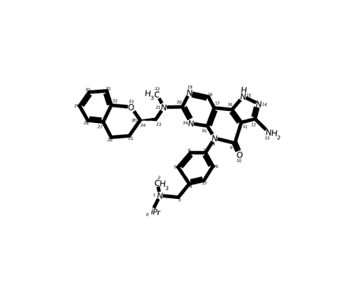 CC(C)N(C)Cc1ccc(-n2c(=O)c3c(N)n[nH]c3c3cnc(N(C)C[C@H]4CCc5ccccc5O4)nc32)cc1